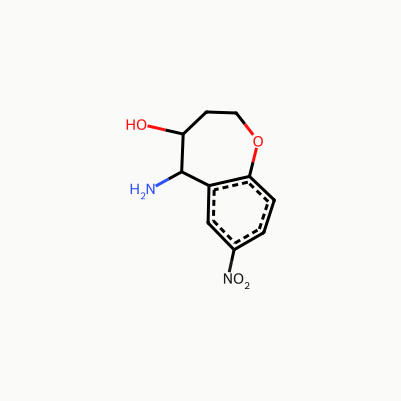 NC1c2cc([N+](=O)[O-])ccc2OCCC1O